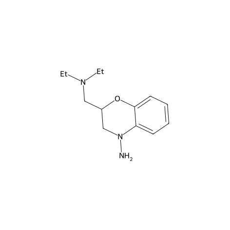 CCN(CC)CC1CN(N)c2ccccc2O1